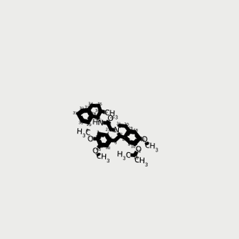 COc1ccc(CC2c3cc(OC(C)C)c(OC)cc3CCN2CC(=O)NC2c3ccccc3CCC2C)cc1OC